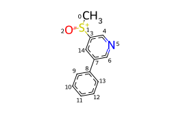 C[S+]([O-])c1cncc(-c2ccccc2)c1